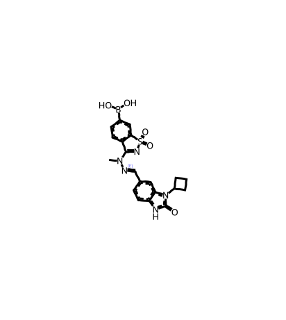 CN(/N=C/c1ccc2[nH]c(=O)n(C3CCC3)c2c1)C1=NS(=O)(=O)c2cc(B(O)O)ccc21